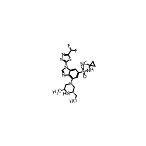 C[C@H]1CN(c2cc(S(=O)(=O)NC3(C#N)CC3)cc3c2ncn3-c2nnc(C(F)F)s2)C[C@@H](CO)N1